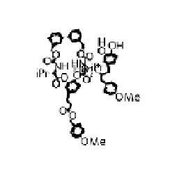 COc1ccc(CC(Cc2ccc(O)c(O)c2)C(=O)O)cc1.COc1ccc(COC(=O)CCc2ccc(OC(=O)[C@@H](NC(=O)OCc3ccccc3)C(C)C)c(OC(=O)[C@@H](NC(=O)OCc3ccccc3)C(C)C)c2)cc1